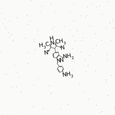 CC1=C(C#N)C(c2ccc3c(c2)c(N)nn3Cc2ccc(N)cc2)C(C#N)=C(C)N1